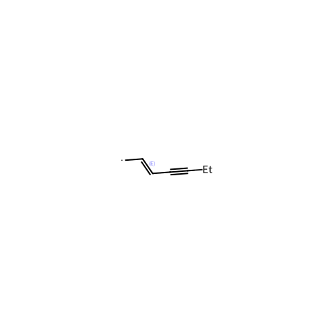 [CH2]/C=C/C#CCC